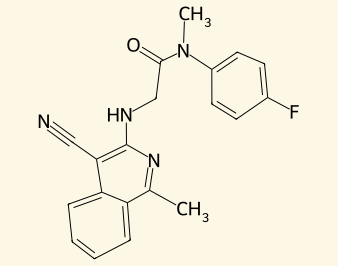 Cc1nc(NCC(=O)N(C)c2ccc(F)cc2)c(C#N)c2ccccc12